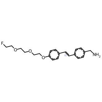 NCc1ccc(/C=C/c2ccc(OCCOCCOCCF)cc2)cc1